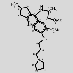 COC[C@@H](C)Nc1c2c(nc3cc(OCCCN4CCCC4)c(OC)nc13)CC(C)C2